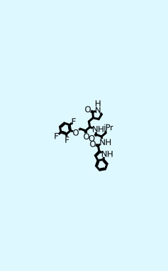 CC(C)CC(NC(=O)c1cc2ccccc2[nH]1)C(=O)NC(CC1CCNC1=O)C(=O)COc1c(F)ccc(F)c1F